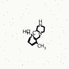 Cc1cccnc1CN1CCNC[C@@H]1C.Cl